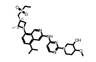 CCS(=O)(=O)C[C@H]1CN(c2ccc(C(C)C)c3cc(Nc4ccnc(N5CCC(OC)C(O)C5)n4)ncc23)[C@@H]1C